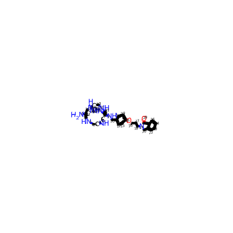 NC12CNCCNCC(NCc3ccc(OCCCN4Cc5ccccc5C4=O)cc3)(CNCCNC1)CNCCNC2